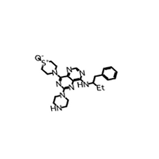 CCC(Cc1ccccc1)Nc1ncnc2c(N3CC[S+]([O-])CC3)nc(N3CCNCC3)nc12